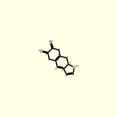 O=C1CC2=C(CC1=O)CC1OC=CC1=C2